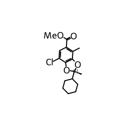 COC(=O)c1cc(Cl)c2c(c1C)O[C@](C)(C1CCCCC1)O2